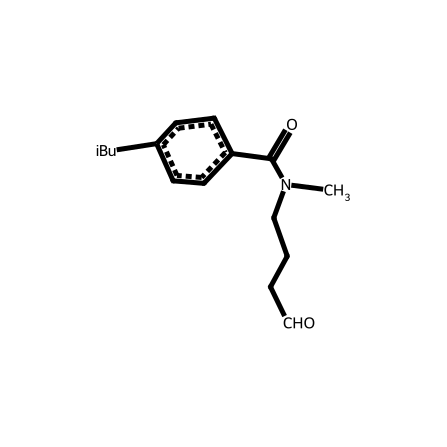 CCC(C)c1ccc(C(=O)N(C)CCCC=O)cc1